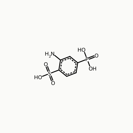 Nc1cc(P(=O)(O)O)ccc1S(=O)(=O)O